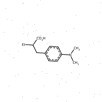 CCC(Cc1ccc(N(C)C)cc1)C(=O)O